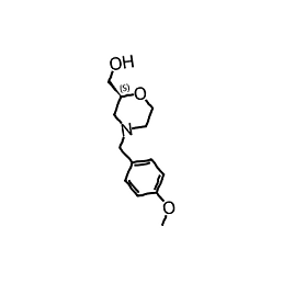 COc1ccc(CN2CCO[C@H](CO)C2)cc1